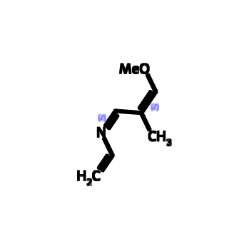 C=C/N=C\C(C)=C/OC